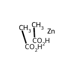 CC(=O)O.CC(=O)O.[Zn]